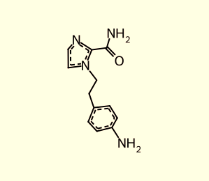 NC(=O)c1nccn1CCc1ccc(N)cc1